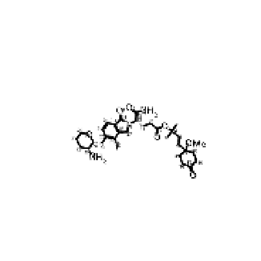 COC1(CCC(C)(C)OC(=O)CC[C@@H](C(N)=O)N2Cc3c(ccc(C[C@H]4OCCC[C@@H]4N)c3F)C2=O)CCC(=O)CC1